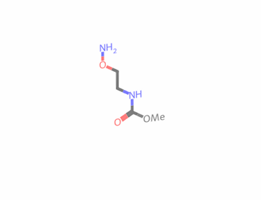 COC(=O)NCCON